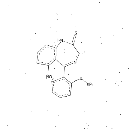 CCCSc1ccccc1C1=NCC(=S)Nc2cccc([N+](=O)[O-])c21